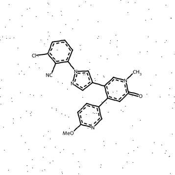 COc1ccc(-c2cc(=O)n(C)cc2-c2cnn(-c3cccc(Cl)c3C#N)c2)cn1